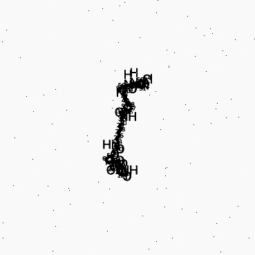 O=C(COc1cccc2c1C(=O)N(C1CCC(=O)NC1=O)C2=O)NCCCCCCCCNC(=O)c1cccc(C#Cc2cc(NC(=O)Nc3ccnc(Cl)c3)ccn2)c1